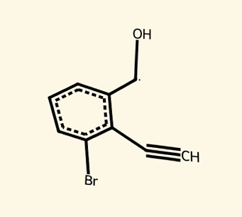 C#Cc1c(Br)cccc1[CH]O